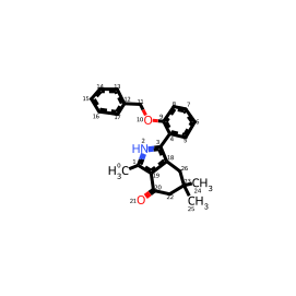 Cc1[nH]c(-c2ccccc2OCc2ccccc2)c2c1C(=O)CC(C)(C)C2